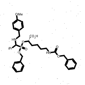 COc1ccc(CNC(C(C)C)P(=O)(OCc2ccccc2)O[C@@H](CCCCNC(=O)OCc2ccccc2)C(=O)O)cc1